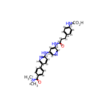 CN(C)C(=O)c1ccc(-c2ccc(Nc3cncc(NC(=O)CCc4ccc(NC(=O)O)cc4)c3)nc2)cc1